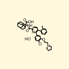 Cc1ccccc1-c1ccc(C(=O)NC2(C(=O)O)C3CC4CC(C3)CC2C4)nc1-c1ccc(Cl)c(OCCN2CCCC2)c1.Cl